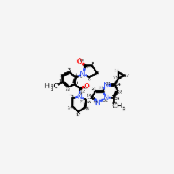 Cc1ccc(N2CCCC2=O)c(C(=O)N2CCCC[C@H]2c2cc3nc(C4CC4)cc(C)n3n2)c1